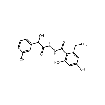 CCc1cc(O)cc(O)c1C(=O)NNC(=O)C(O)c1cccc(O)c1